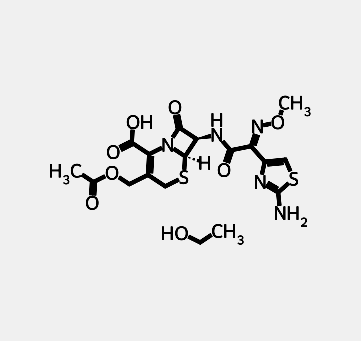 CCO.CON=C(C(=O)N[C@@H]1C(=O)N2C(C(=O)O)=C(COC(C)=O)CS[C@H]12)c1csc(N)n1